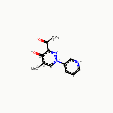 COC(=O)c1nn(-c2cccnc2)cc(OC)c1=O